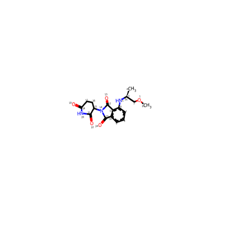 COC[C@H](C)Nc1cccc2c1C(=O)N(C1CCC(=O)NC1=O)C2=O